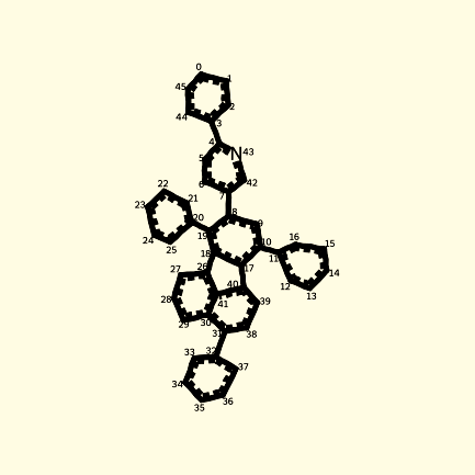 c1ccc(-c2ccc(-c3cc(-c4ccccc4)c4c(c3-c3ccccc3)-c3cccc5c(-c6ccccc6)ccc-4c35)cn2)cc1